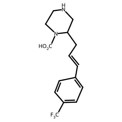 O=C(O)N1CCNCC1CC=Cc1ccc(C(F)(F)F)cc1